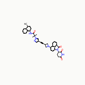 CC(C)(C(=O)Nc1ccc(C#N)c2ccccc12)n1cc(C#CC2CN(c3ccc4c5c(cccc35)C(=O)N4C3CCC(=O)NC3=O)C2)cn1